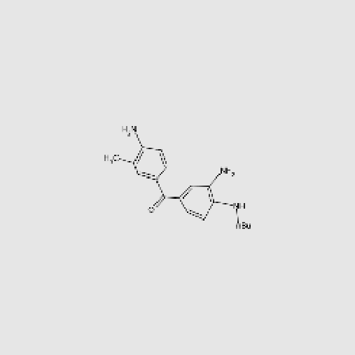 CCCCNc1ccc(C(=O)c2ccc(N)c(C)c2)cc1N